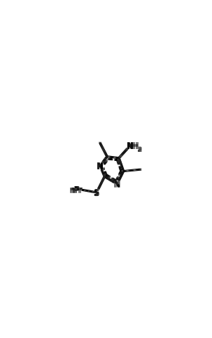 CCCSc1nc(C)c(N)c(C)n1